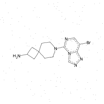 NC1CC2(CCN(c3ncc(Br)c4nncn34)CC2)C1